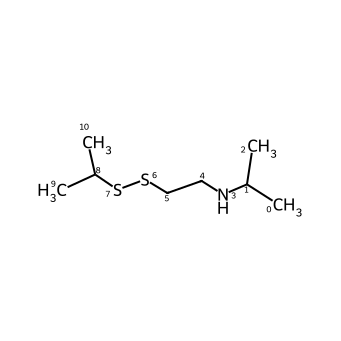 CC(C)NCCSSC(C)C